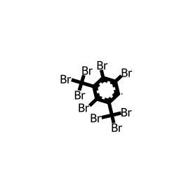 Brc1[c]c(C(Br)(Br)Br)c(Br)c(C(Br)(Br)Br)c1Br